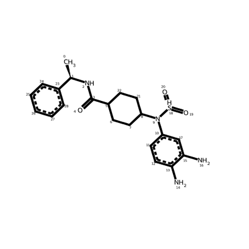 C[C@@H](NC(=O)C1CCC(N(c2ccc(N)c(N)c2)[SH](=O)=O)CC1)c1ccccc1